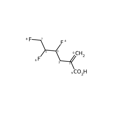 C=C(CC(F)C(F)CF)C(=O)O